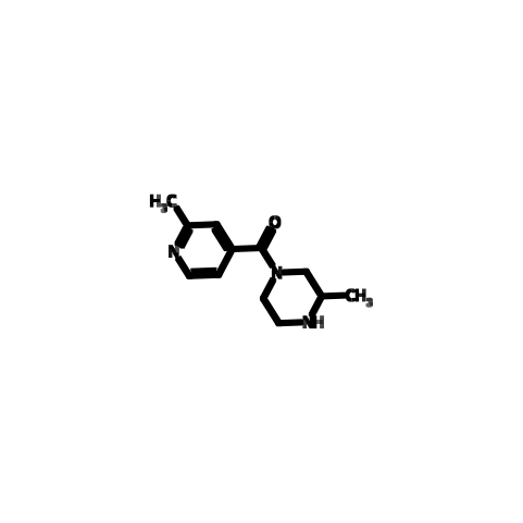 Cc1cc(C(=O)N2CCNC(C)C2)ccn1